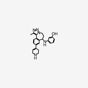 Cc1nnn2c1-c1ccc(C3=CCNCC3)cc1C(Nc1cccc(O)c1)CC2